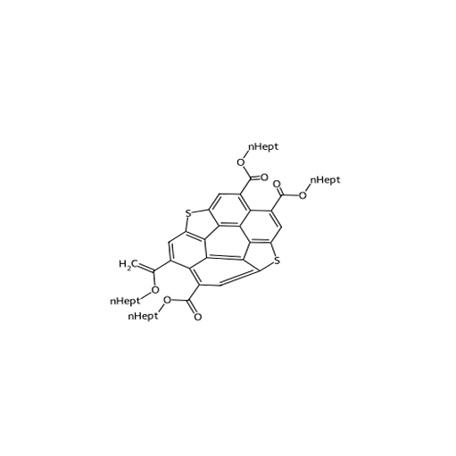 C=C(OCCCCCCC)c1cc2sc3cc(C(=O)OCCCCCCC)c4c(C(=O)OCCCCCCC)cc5sc6cc(C(=O)OCCCCCCC)c1c1c2c3c4c5c61